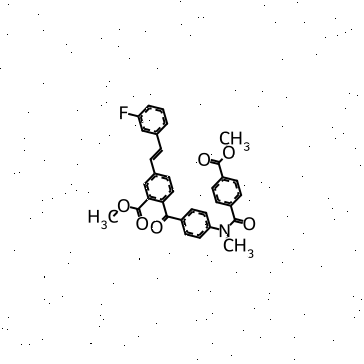 COC(=O)c1ccc(C(=O)N(C)c2ccc(C(=O)c3ccc(C=Cc4cccc(F)c4)cc3C(=O)OC)cc2)cc1